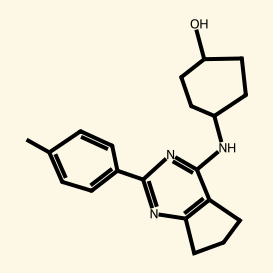 Cc1ccc(-c2nc3c(c(NC4CCC(O)CC4)n2)CCC3)cc1